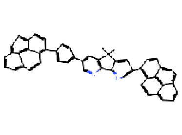 CC1(C)c2cc(-c3ccc(-c4ccc5ccc6cccc7ccc4c5c67)cc3)cnc2-c2ncc(-c3ccc4ccc5cccc6ccc3c4c56)cc21